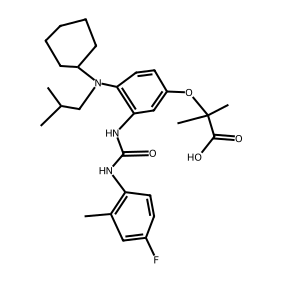 Cc1cc(F)ccc1NC(=O)Nc1cc(OC(C)(C)C(=O)O)ccc1N(CC(C)C)C1CCCCC1